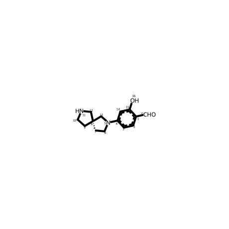 O=Cc1ccc(N2CC[C@@]3(CCNC3)C2)cc1O